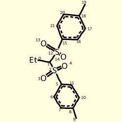 CCC(S(=O)(=O)c1ccc(C)cc1)S(=O)(=O)c1ccc(C)cc1